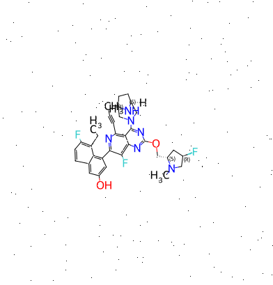 CC#Cc1nc(-c2cc(O)cc3ccc(F)c(CC)c23)c(F)c2nc(OC[C@@H]3C[C@@H](F)CN3C)nc(N3C[C@H]4CC[C@@H](C3)N4)c12